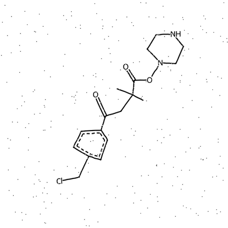 CC(C)(CC(=O)c1ccc(CCl)cc1)C(=O)ON1CCNCC1